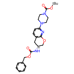 CC(C)(C)OC(=O)N1CCN(c2ccc3c(n2)OC[C@H](NC(=O)OCc2ccccc2)C3)CC1